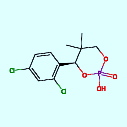 CC1(C)COP(=O)(O)O[C@H]1c1ccc(Cl)cc1Cl